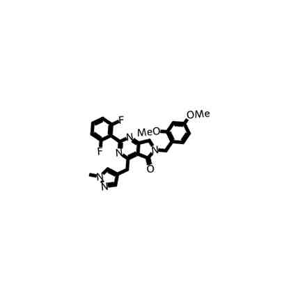 COc1ccc(CN2Cc3nc(-c4c(F)cccc4F)nc(Cc4cnn(C)c4)c3C2=O)c(OC)c1